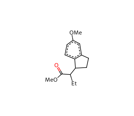 CCC(C(=O)OC)C1CCc2cc(OC)ccc21